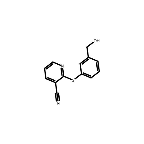 N#Cc1cccnc1Sc1cccc(CO)c1